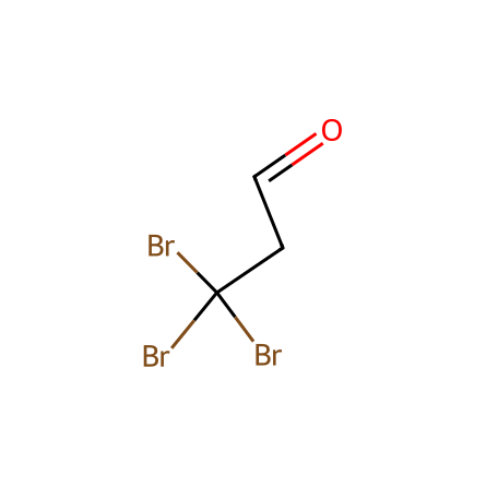 O=CCC(Br)(Br)Br